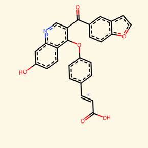 O=C(O)/C=C/c1ccc(Oc2c(C(=O)c3ccc4occc4c3)cnc3cc(O)ccc23)cc1